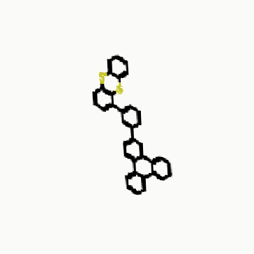 c1cc(-c2ccc3c4ccccc4c4ccccc4c3c2)cc(-c2cccc3c2Sc2ccccc2S3)c1